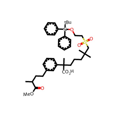 COC(=O)C(C)CCc1cccc(C(C)(CCCC(C)(C)CS(=O)(=O)CCO[Si](c2ccccc2)(c2ccccc2)C(C)(C)C)C(=O)O)c1